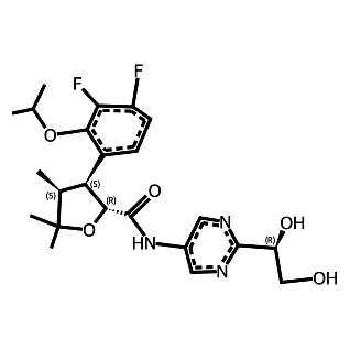 CC(C)Oc1c([C@H]2[C@H](C(=O)Nc3cnc([C@@H](O)CO)nc3)OC(C)(C)[C@H]2C)ccc(F)c1F